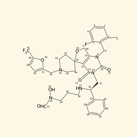 Cc1cccc(F)c1Cn1c2c(c(=O)n(C[C@H](NCCCN(O)C=O)c3ccccc3)c1=O)C1(CCN(Cc3ccc(C(F)(F)F)o3)CC1)OC2